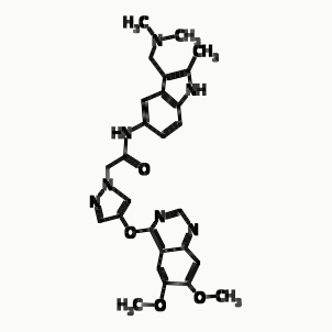 COc1cc2ncnc(Oc3cnn(CC(=O)Nc4ccc5[nH]c(C)c(CN(C)C)c5c4)c3)c2cc1OC